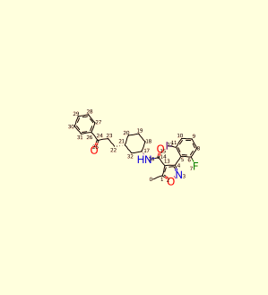 Cc1onc(-c2c(F)cccc2I)c1C(=O)N[C@H]1CCC[C@@H](CCC(=O)c2ccccc2)C1